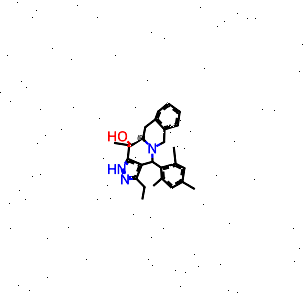 CCc1n[nH]c(CC)c1C(c1c(C)cc(C)cc1C)N1Cc2ccccc2C[C@@H]1CO